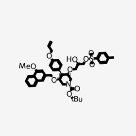 C=CCOc1ccc([C@@H]2[C@@H](OCc3cc(OC)c4ccccc4c3)CN(C(=O)OC(C)(C)C)C[C@@H]2OC[C@H](O)COS(=O)(=O)c2ccc(C)cc2)cc1